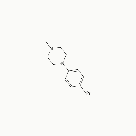 [CH2]C(C)c1ccc(N2CCN(C)CC2)cc1